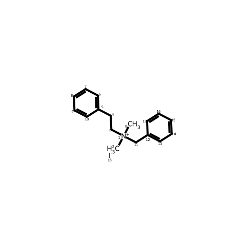 C[N+](C)(CCc1ccccc1)Cc1ccccc1.[I-]